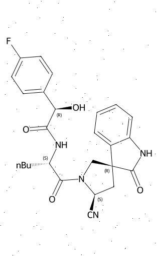 CCCC[C@H](NC(=O)[C@H](O)c1ccc(F)cc1)C(=O)N1C[C@]2(C[C@H]1C#N)C(=O)Nc1ccccc12